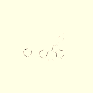 CN1CC(n2nc(-c3ccc(Oc4ccccc4)cc3)c3c(N)ncnc32)C1